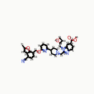 COC(=O)c1ccc2nc(CN3CCC(c4cccc(OCc5ccc(C#N)c6cc(C)oc56)n4)CC3)n(C[C@@H]3CCO3)c2c1